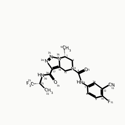 C[C@@H]1CN(C(=O)Nc2ccc(F)c(C#N)c2)Cc2c(C(=O)N[C@H](C)C(F)(F)F)nnn21